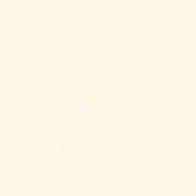 Cc1cc(-c2ccc(Oc3ccccc3)cc2)c(Cl)cc1N(Cc1ccc(C(=O)O)cc1)S(C)(=O)=O